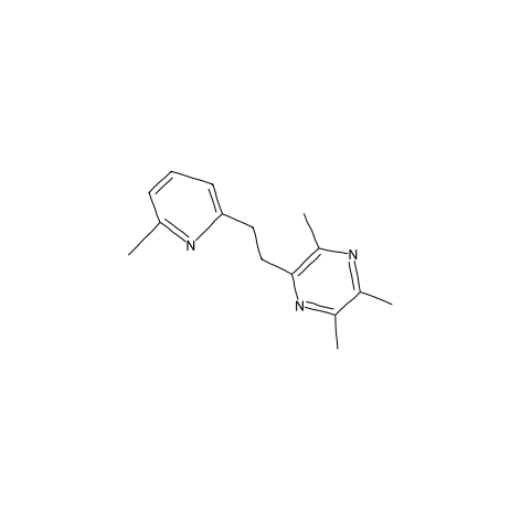 Cc1cccc(CCc2nc(C)c(C)nc2C)n1